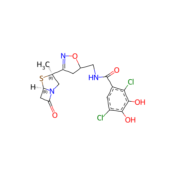 C[C@]1(C2=NOC(CNC(=O)c3cc(Cl)c(O)c(O)c3Cl)C2)CN2C(=O)C[C@H]2S1